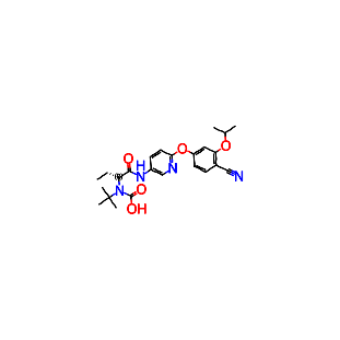 CC[C@H](C(=O)Nc1ccc(Oc2ccc(C#N)c(OC(C)C)c2)nc1)N(C(=O)O)C(C)(C)C